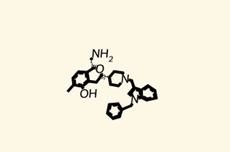 Cc1ccc2c(c1O)C[C@@H](C1CCN(Cc3cn(Cc4ccccc4)c4ccccc34)CC1)O[C@H]2CN